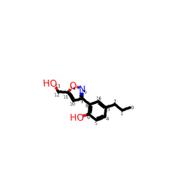 CCCc1ccc(O)c(-c2cc(CO)on2)c1